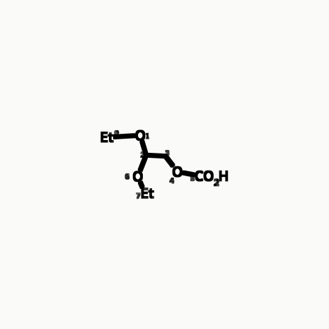 CCOC(COC(=O)O)OCC